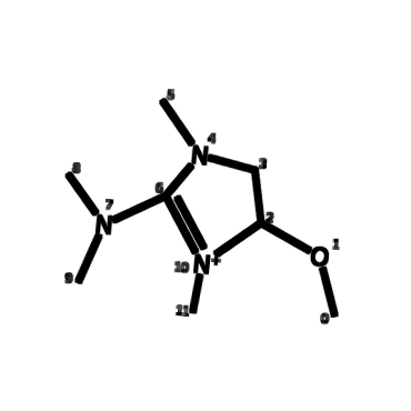 COC1CN(C)C(N(C)C)=[N+]1C